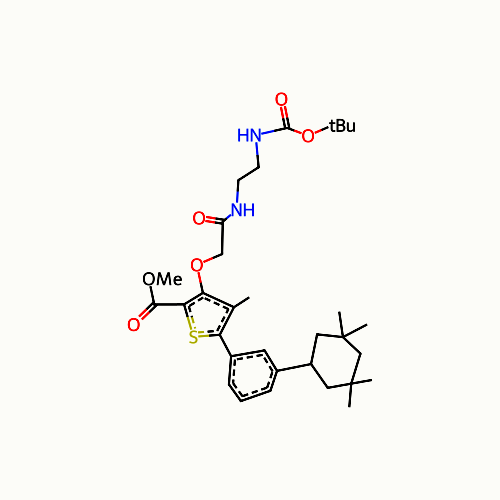 COC(=O)c1sc(-c2cccc(C3CC(C)(C)CC(C)(C)C3)c2)c(C)c1OCC(=O)NCCNC(=O)OC(C)(C)C